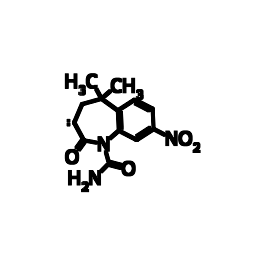 CC1(C)C[C]C(=O)N(C(N)=O)c2cc([N+](=O)[O-])ccc21